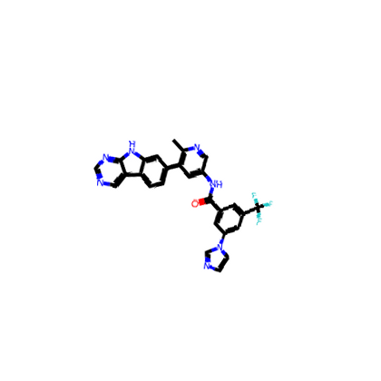 Cc1ncc(NC(=O)c2cc(-n3ccnc3)cc(C(F)(F)F)c2)cc1-c1ccc2c(c1)[nH]c1ncncc12